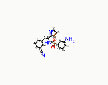 N#Cc1cccc(CC(NS(=O)(=O)c2cccc(N)c2)c2nccs2)c1